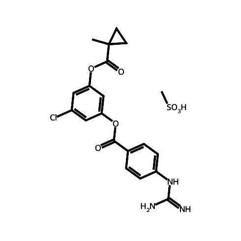 CC1(C(=O)Oc2cc(Cl)cc(OC(=O)c3ccc(NC(=N)N)cc3)c2)CC1.CS(=O)(=O)O